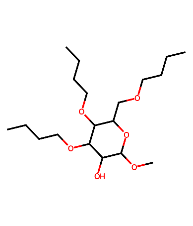 CCCCOCC1OC(OC)C(O)C(OCCCC)C1OCCCC